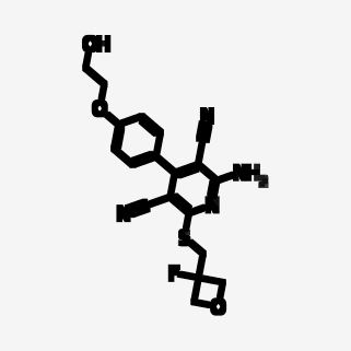 N#Cc1c(N)nc(SCC2(F)COC2)c(C#N)c1-c1ccc(OCCO)cc1